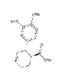 COC(=O)[C@H]1CCC=C[C@@H]1c1ccc(OC)c(OC)c1